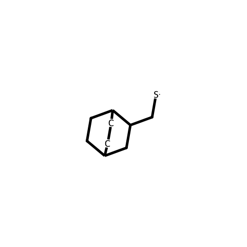 [S]CC1CC2CCC1CC2